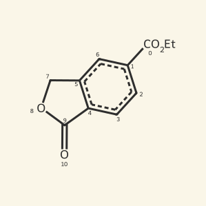 CCOC(=O)c1ccc2c(c1)COC2=O